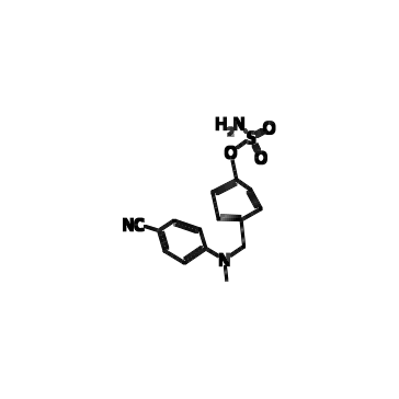 CN(Cc1ccc(OS(N)(=O)=O)cc1)c1ccc(C#N)cc1